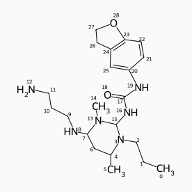 CCCN1C(C)CC(NCCCN)N(C)C1NC(=O)Nc1ccc2c(c1)CCO2